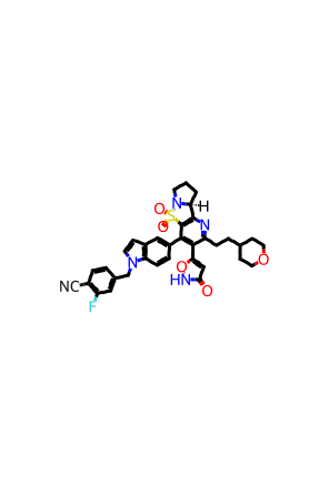 N#Cc1ccc(Cn2ccc3cc(-c4c(-c5cc(=O)[nH]o5)c(CCC5CCOCC5)nc5c4S(=O)(=O)N4CCC[C@@H]54)ccc32)cc1F